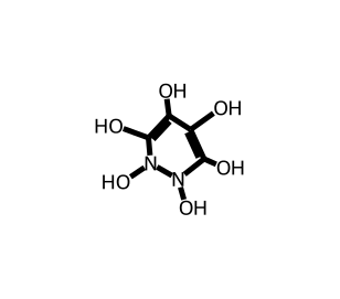 OC1=C(O)N(O)N(O)C(O)=C1O